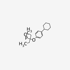 CCC(CC)(Oc1ccc(C2CCCCC2)cc1)P=O